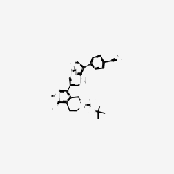 Cn1cc(-c2cnc3c(-c4ccc(C#N)cc4)cnn3c2)c2c(c1=O)CCN(C(=O)OC(C)(C)C)C2